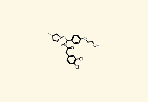 C[C@H]1CCN(C[C@H](c2ccc(OCCO)cc2)N(C)C(=O)Cc2ccc(Cl)c(Cl)c2)C1